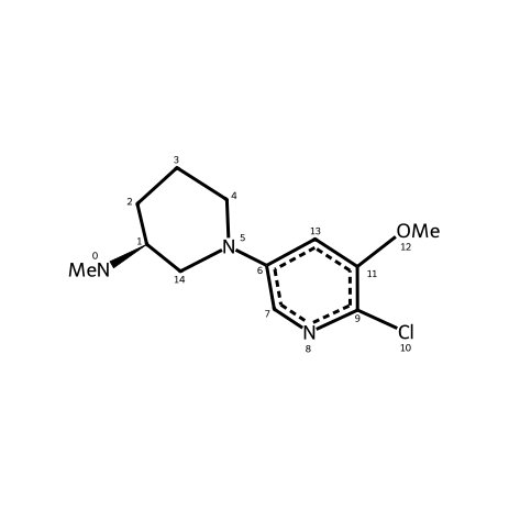 CN[C@H]1CCCN(c2cnc(Cl)c(OC)c2)C1